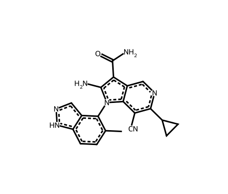 Cc1ccc2[nH]ncc2c1-n1c(N)c(C(N)=O)c2cnc(C3CC3)c(C#N)c21